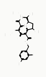 CCC12CC(O)c3c(C(=O)NCc4ccc(F)cc4F)c(=O)c(OC)c(n31)C(=O)N(C)C2